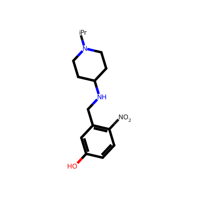 CC(C)N1CCC(NCc2cc(O)ccc2[N+](=O)[O-])CC1